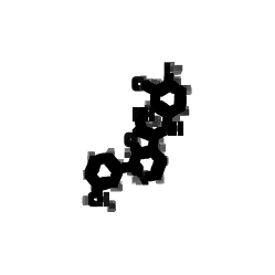 Cc1cccc(-c2nccc3c(Nc4ccc(F)c(Cl)c4)c(N)oc23)c1